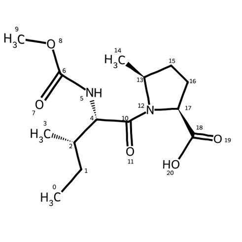 CC[C@H](C)[C@H](NC(=O)OC)C(=O)N1[C@@H](C)CC[C@H]1C(=O)O